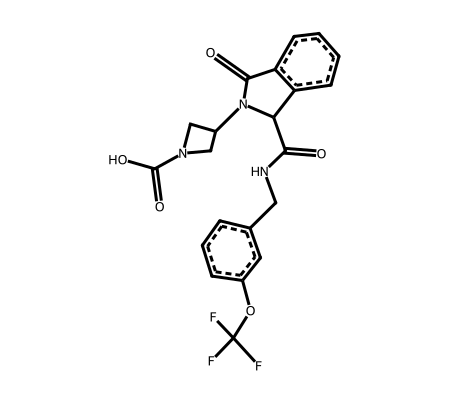 O=C(NCc1cccc(OC(F)(F)F)c1)C1c2ccccc2C(=O)N1C1CN(C(=O)O)C1